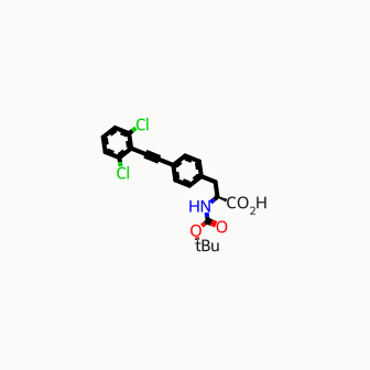 CC(C)(C)OC(=O)N[C@@H](Cc1ccc(C#Cc2c(Cl)cccc2Cl)cc1)C(=O)O